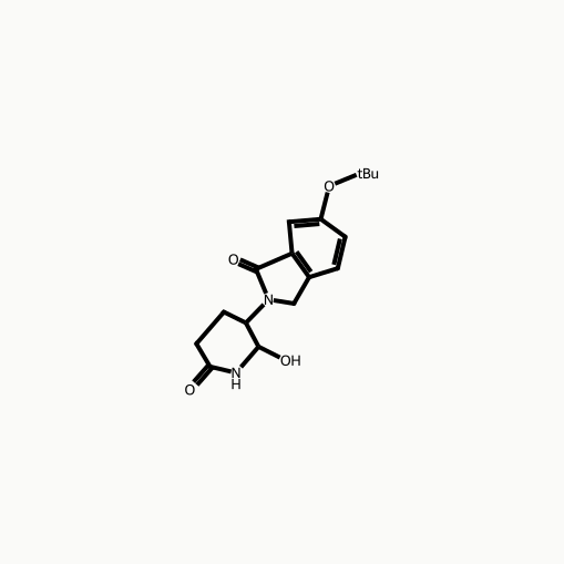 CC(C)(C)Oc1ccc2c(c1)C(=O)N(C1CCC(=O)NC1O)C2